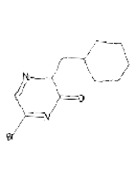 O=C1N=C(Br)C=NC1CC1CCCCC1